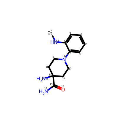 CCNc1ccccc1N1CCC(N)(C(N)=O)CC1